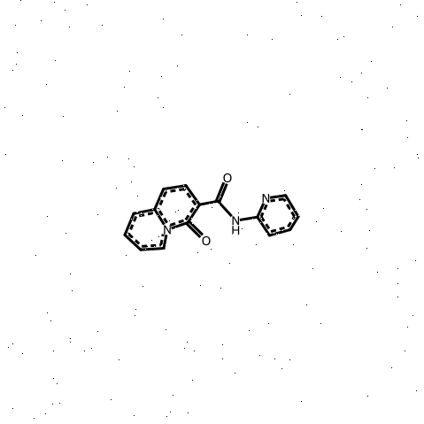 O=C(Nc1ccccn1)c1ccc2ccccn2c1=O